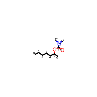 [CH2]CCCCC(C)OC(=O)N(C)C